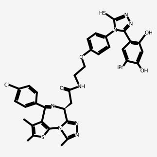 Cc1sc2c(c1C)C(c1ccc(Cl)cc1)=N[C@@H](CC(=O)NCCOc1ccc(-n3c(S)nnc3-c3cc(C(C)C)c(O)cc3O)cc1)c1nnc(C)n1-2